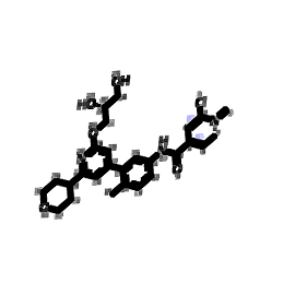 C=N/C(Cl)=C\C(=C/C)C(=O)Nc1ccc(C)c(-c2cc(OC[C@H](O)CO)nc(C3CCOCC3)c2)c1